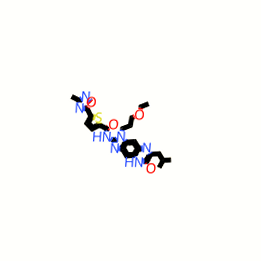 CCOCCCn1c(NC(=O)c2ccc(-c3nc(C)no3)s2)nc2cc3[nH]c(=O)c(CC(C)C)nc3cc21